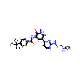 CNCCNc1nccc(-c2c[nH]c(=O)c(NC(=O)c3ccc(C(C)(C)C)cc3)c2)n1